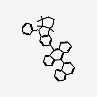 CC1(C)CCCC2(C)c3cc(-c4c5ccccc5c(-c5cccc6ccccc56)c5ccccc45)ccc3N(c3ccccc3)C12C